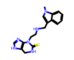 Cn1cc(CNCCN2C(=S)NCc3[nH]cnc32)c2ccccc21